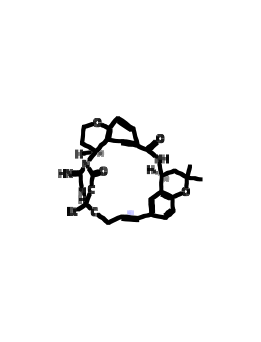 CCC12CC/C=C/c3ccc4c(c3)[C@H](CC(C)(C)O4)NC(=O)c3ccc4c(c3)[C@@H](CCO4)N(C(=N)N1)C(=O)C2